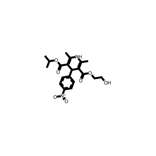 CC1=C(C(=O)OCCO)C(c2ccc([N+](=O)[O-])cc2)C(C(=O)OC(C)C)=C(C)N1